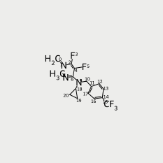 C=N/C(F)=C(F)\C(=N/C)N(Cc1ccc(C(F)(F)F)cc1)C1CC1